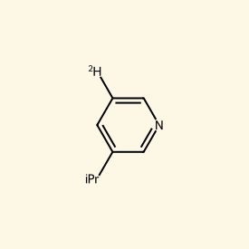 [2H]c1cncc(C(C)C)c1